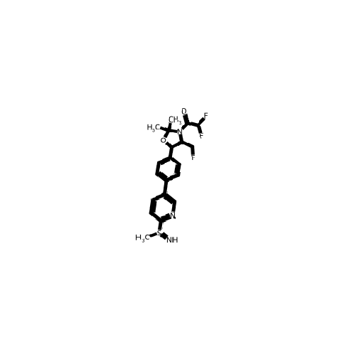 CS(=N)c1ccc(-c2ccc(C3OC(C)(C)N(C(=O)C(F)F)C3CF)cc2)cn1